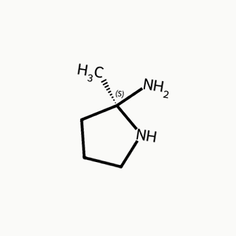 C[C@@]1(N)CCCN1